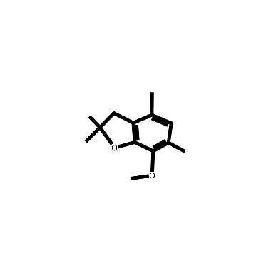 COc1c(C)cc(C)c2c1OC(C)(C)C2